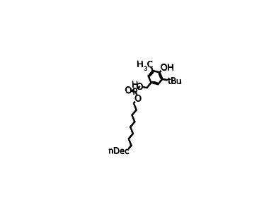 CCCCCCCCCCCCCCCCCCO[PH](=O)OCc1cc(C)c(O)c(C(C)(C)C)c1